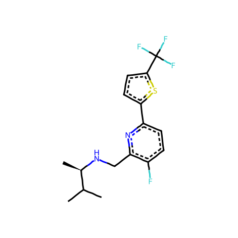 CC(C)[C@@H](C)NCc1nc(-c2ccc(C(F)(F)F)s2)ccc1F